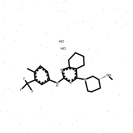 CN[C@@H]1CCCN(c2nc(Nc3ccc(C)c(C(F)(F)F)c3)nc3c2CCCC3)C1.Cl.Cl